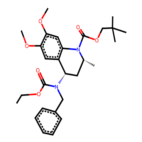 CCOC(=O)N(Cc1ccccc1)[C@H]1C[C@@H](C)N(C(=O)OCC(C)(C)C)c2cc(OC)c(OC)cc21